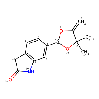 C=C1OB(c2ccc3c(c2)NC(=O)C3)OC1(C)C